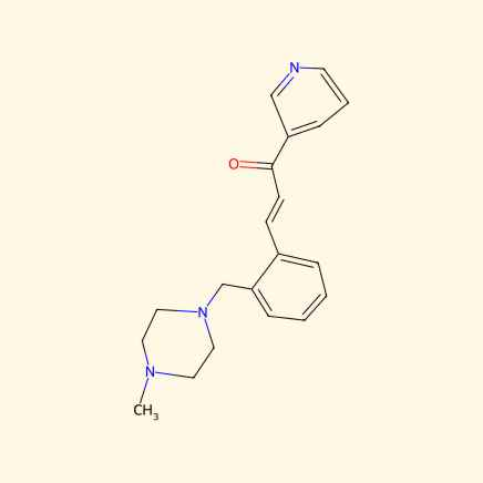 CN1CCN(Cc2ccccc2C=CC(=O)c2cccnc2)CC1